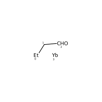 CCCC=O.[Yb]